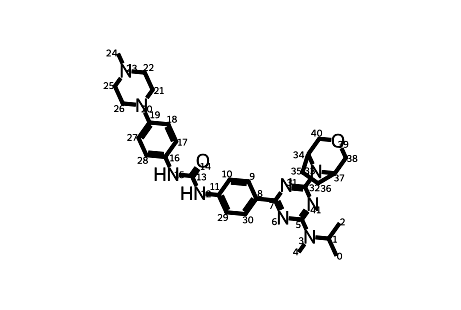 CC(C)N(C)c1nc(-c2ccc(NC(=O)Nc3ccc(N4CCN(C)CC4)cc3)cc2)nc(N2C3CCC2COC3)n1